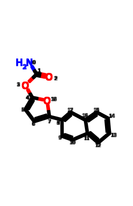 NC(=O)Oc1ccc(-c2ccc3ccccc3c2)o1